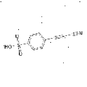 N#CC#Cc1ccc(S(=O)(=O)O)cc1